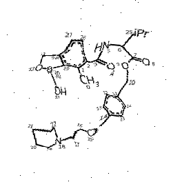 Cc1c(C(=O)NC(C(=O)OCc2ccc(OCCN3CCCC3)cc2)C(C)C)ccc2c1B(O)OC2